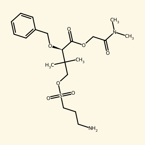 CN(C)C(=O)COC(=O)[C@H](OCc1ccccc1)C(C)(C)COS(=O)(=O)CCCN